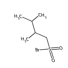 CC(C)C(C)CS(=O)(=O)Br